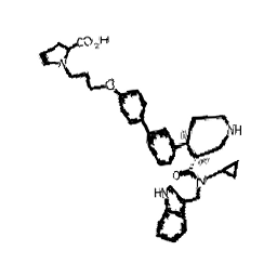 O=C(O)C1CCCN1CCCOc1ccc(-c2cccc([C@H]3CCNC[C@@H]3C(=O)N(Cc3c[nH]c4ccccc34)C3CC3)c2)cc1